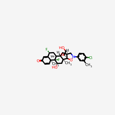 Cc1cc(N2C[C@@H]3C[C@H]4[C@@H]5C[C@H](F)C6=CC(=O)C=C[C@]6(C)[C@@]5(F)[C@@H](O)C[C@]4(C)[C@]3(C(=O)CO)O2)ccc1Cl